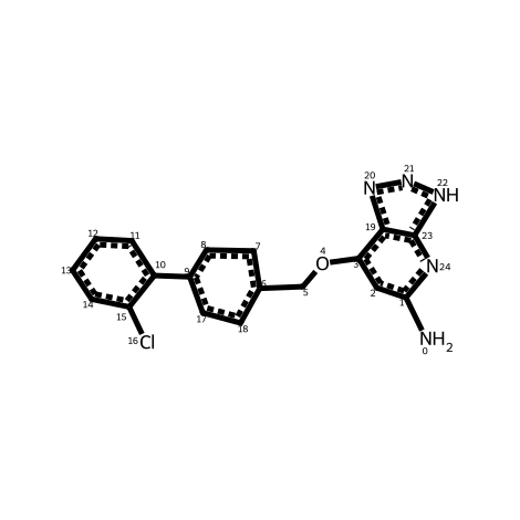 Nc1cc(OCc2ccc(-c3ccccc3Cl)cc2)c2nn[nH]c2n1